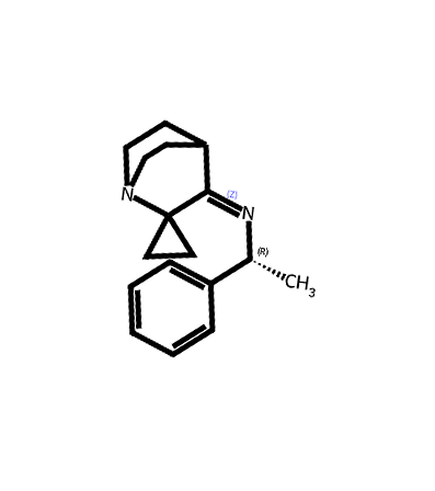 C[C@@H](/N=C1/C2CCN(CC2)C12CC2)c1ccccc1